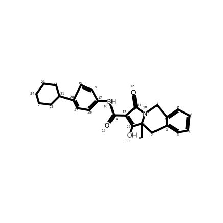 CC12Cc3ccccc3CN1C(=O)C(C(=O)Bc1ccc(C3CCCCC3)cc1)=C2O